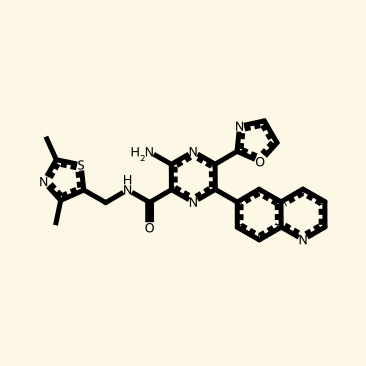 Cc1nc(C)c(CNC(=O)c2nc(-c3ccc4ncccc4c3)c(-c3ncco3)nc2N)s1